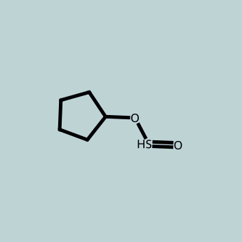 O=[SH]OC1CCCC1